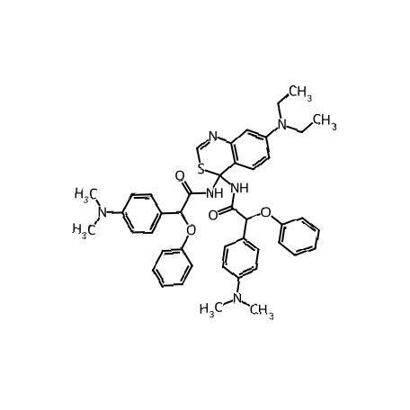 CCN(CC)c1ccc2c(c1)N=CSC2(NC(=O)C(Oc1ccccc1)c1ccc(N(C)C)cc1)NC(=O)C(Oc1ccccc1)c1ccc(N(C)C)cc1